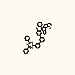 c1ccc(-c2nc(-c3ccccc3)nc(-c3cccc(-c4cccc(-c5ccc6c(c5)C5(c7ccccc7S6)c6ccccc6-c6c5ccc5ccsc65)c4)c3)n2)cc1